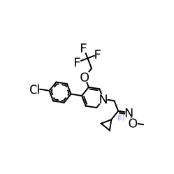 CO/N=C(/CN1C=C(OCC(F)(F)F)C(c2ccc(Cl)cc2)=CC1)C1CC1